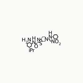 CC(C)c1ccc(N)c(NC(=O)c2nc3c(s2)CN(C(=C[N+](=O)[O-])Nc2ccccc2)CC3)c1